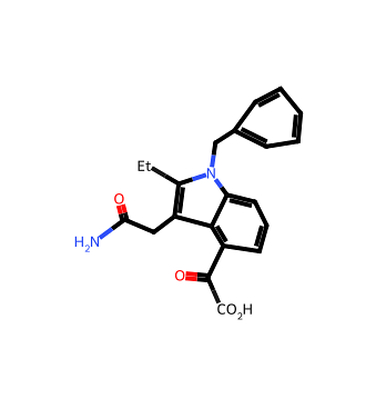 CCc1c(CC(N)=O)c2c(C(=O)C(=O)O)cccc2n1Cc1ccccc1